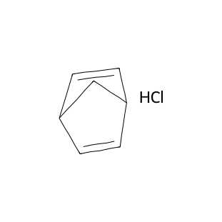 C1=CC2C=CC1C2.Cl